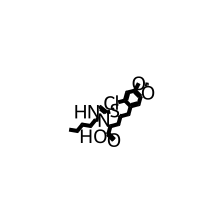 CCCCc1nc(SC(CCC(=O)O)Cc2cc3c(cc2Cl)OCO3)c[nH]1